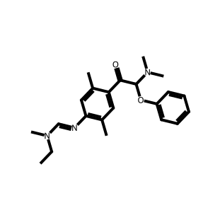 CCN(C)C=Nc1cc(C)c(C(=O)C(Oc2ccccc2)N(C)C)cc1C